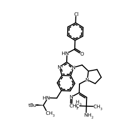 C=N/C(=C\C(C)(C)N)CN1CCCC1Cn1c(NC(=O)c2ccc(Cl)cc2)nc2cc(CN[C@@H](C)C(C)(C)C)ccc21